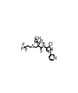 CCN(C(=S)C(CSCCC(F)(F)F)=NOC)c1cn(-c2cccnc2)nc1Cl